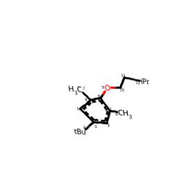 Cc1cc(C(C)(C)C)cc(C)c1OCCC(C)C